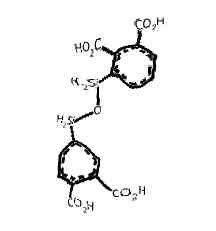 O=C(O)c1ccc([SiH2]O[SiH2]c2cccc(C(=O)O)c2C(=O)O)cc1C(=O)O